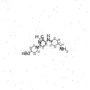 CCCCC1CCN(c2ccc(NC3CCC(CN)CC3)c(C)n2)CC1